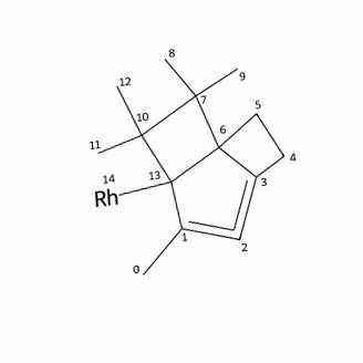 CC1=C=C2CCC23C(C)(C)C(C)(C)[C]13[Rh]